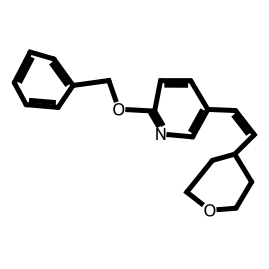 C(=C/C1CCOCC1)/c1ccc(OCc2ccccc2)nc1